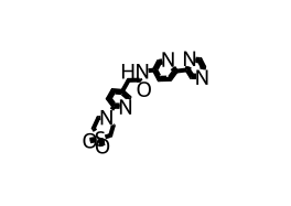 O=C(Cc1ccc(N2CCS(=O)(=O)CC2)nc1)Nc1ccc(-c2cnccn2)nc1